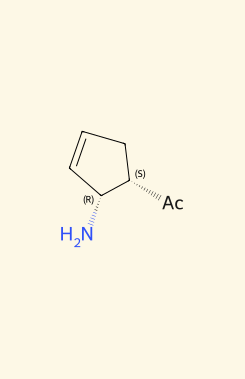 CC(=O)[C@H]1CC=C[C@H]1N